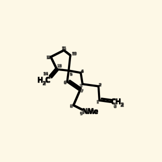 C=CCCCC1(C=CCNC)CCCC1=C